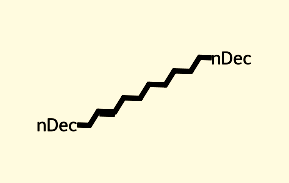 [CH2]CCCCCCCCCC/C=C/CCCCCCCCCCCCCCCC[CH2]